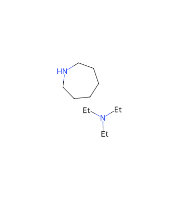 C1CCCNCC1.CCN(CC)CC